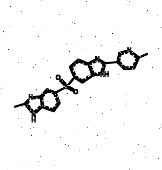 Cc1ccc(-c2nc3ccc(S(=O)(=O)c4ccc5[nH]c(C)nc5c4)cc3[nH]2)cn1